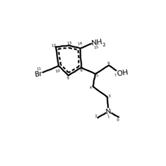 CN(C)CCC(CO)c1cc(Br)ccc1N